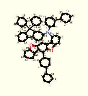 c1ccc(-c2ccc(-c3c4oc5cccc(N(c6cccc(-c7ccccc7)c6)c6ccc7c(c6)C(c6ccccc6)(c6ccccc6)c6ccccc6-7)c5c4cc4oc5ccccc5c34)cc2)cc1